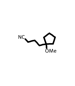 COC1(CCCC#N)CCCC1